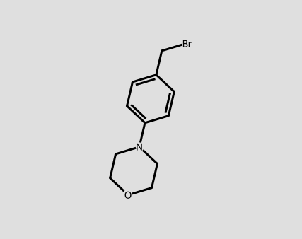 BrCc1ccc(N2CCOCC2)cc1